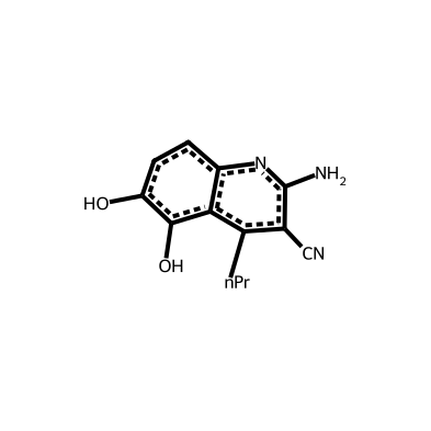 CCCc1c(C#N)c(N)nc2ccc(O)c(O)c12